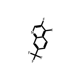 Fc1cnc2cc(C(F)(F)F)ccc2c1I